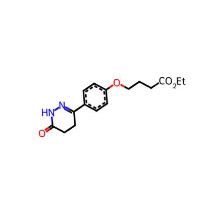 CCOC(=O)CCCOc1ccc(C2=NNC(=O)CC2)cc1